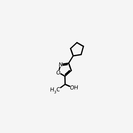 CC(O)c1cc(C2CCCC2)no1